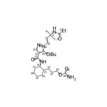 CCC(=O)NC(C)(C)/C=C/n1ncc(C(=O)N[C@@H]2CCCCC2CCCOC(N)=O)c1OCC(C)C